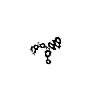 c1ccc(-c2ccc(N(c3ccc(-c4ccc5ccccc5c4)cc3)c3ccc4sc5cc6ccncc6cc5c4c3)cc2)cc1